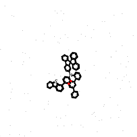 c1ccc(-c2cccc(-c3ccccc3N(c3ccc(-c4cccc5c4sc4ccccc45)cc3)c3ccc4c(c3)C3(c5ccccc5-c5ccccc53)c3ccccc3-4)c2)cc1